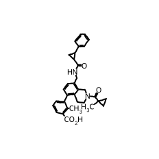 Cc1c(C(=O)O)cccc1-c1ccc(CNC(=O)C2CC2c2ccccc2)c2c1CCN(C(=O)C1(C)CC1)C2